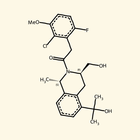 COc1ccc(F)c(CC(=O)N2[C@@H](CO)Cc3c(cccc3C(C)(C)O)[C@@H]2C)c1Cl